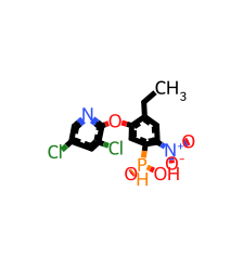 CCc1cc([N+](=O)[O-])c([PH](=O)O)cc1Oc1ncc(Cl)cc1Cl